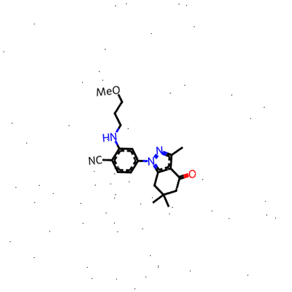 COCCCNc1cc(-n2nc(C)c3c2CC(C)(C)CC3=O)ccc1C#N